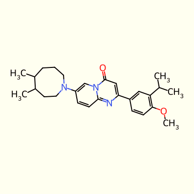 COc1ccc(-c2cc(=O)n3cc(N4CCCC(C)C(C)CC4)ccc3n2)cc1C(C)C